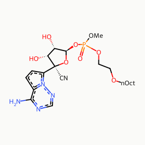 CCCCCCCCOCCOP(=O)(OC)O[C@H]1O[C@@](C#N)(c2ccc3c(N)ncnn23)[C@H](O)[C@@H]1O